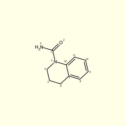 NC(=O)N1CC[CH]c2ccccc21